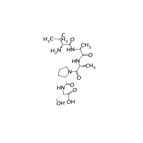 CC(C)[C@H](N)C(=O)N[C@@H](C)C(=O)N[C@@H](C)C(=O)N1CCC[C@H]1C(=O)N[C@@H](CO)C(=O)O